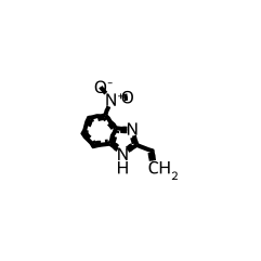 C=Cc1nc2c([N+](=O)[O-])cccc2[nH]1